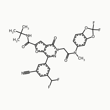 CN(C(=O)Cn1nc(-c2cc(C#N)cc(C(F)F)c2)c2oc(C(=O)NC(C)(C)C)cc2c1=O)c1ccc2c(c1)OC(F)(F)O2